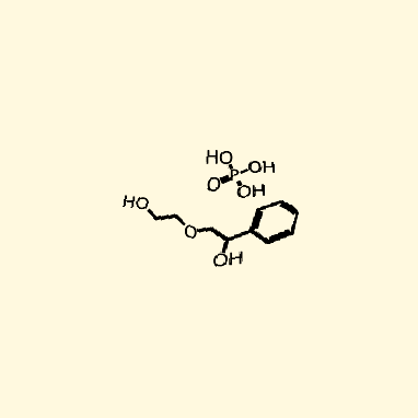 O=P(O)(O)O.OCCOCC(O)c1ccccc1